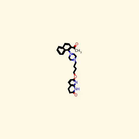 CC(=O)c1ccc2ccccc2c1N1CCN(CCCCOc2ccc3c(n2)NC(=O)CC3)CC1